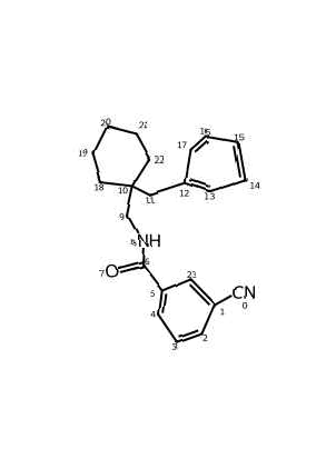 N#Cc1cccc(C(=O)NCC2(Cc3ccccc3)CCCCC2)c1